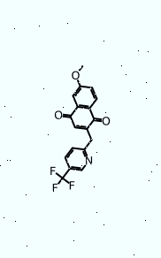 COc1ccc2c(c1)C(=O)C=C(Cc1ccc(C(F)(F)F)cn1)C2=O